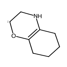 [C]1CNC2=C(CCCC2)O1